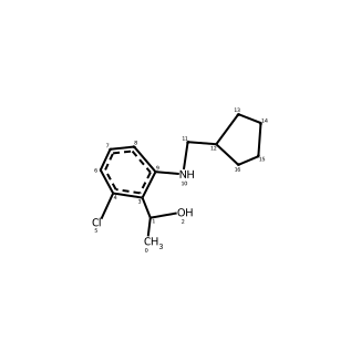 CC(O)c1c(Cl)cccc1NCC1CCCC1